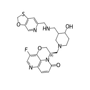 O=c1ccc2ncc(F)c3c2n1[C@H](CN1CCC(O)C(CNCc2cc4c(cn2)OCS4)C1)CO3